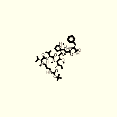 CC[C@H](C)[C@@H]([C@@H](CC(=O)[C@@]1([C@H](OC)[C@@H](C)C(=O)N[C@@H](Cc2ccccc2)C(=O)O)CCCN1)OC)N(C)C(=O)[C@@H](NC(=O)[C@H](C(C)C)N(C)CCCNC(=O)OC(C)(C)C)C(C)C